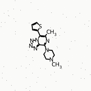 Cc1nc(N2CCN(C)CC2)c2nnnn2c1-c1cccs1